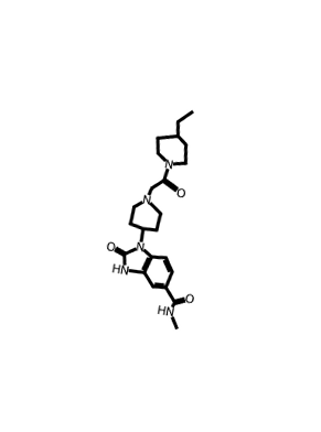 CCC1CCN(C(=O)CN2CCC(n3c(=O)[nH]c4cc(C(=O)NC)ccc43)CC2)CC1